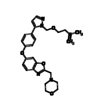 C[SiH](C)CCOCn1nccc1-c1ccc(Oc2ccc3nc(CN4CCOCC4)oc3c2)cc1